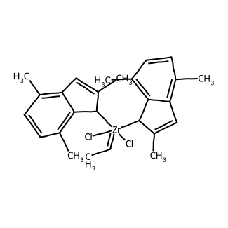 C[CH]=[Zr]([Cl])([Cl])([CH]1C(C)=Cc2c(C)ccc(C)c21)[CH]1C(C)=Cc2c(C)ccc(C)c21